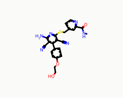 CNC(=O)c1cc(CSc2nc(N)c(C#N)c(-c3ccc(OCCO)cc3)c2C#N)ccn1